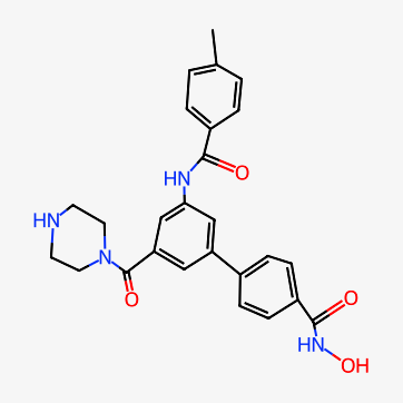 Cc1ccc(C(=O)Nc2cc(C(=O)N3CCNCC3)cc(-c3ccc(C(=O)NO)cc3)c2)cc1